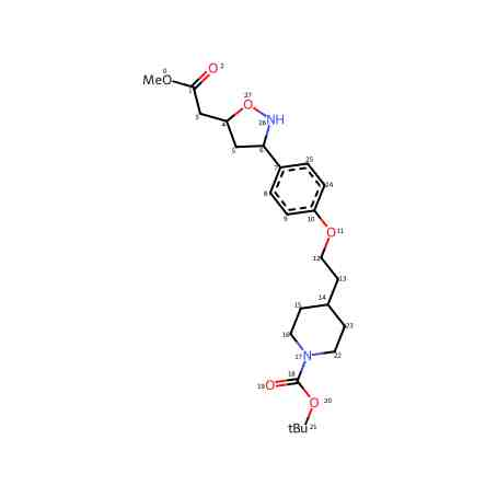 COC(=O)CC1CC(c2ccc(OCCC3CCN(C(=O)OC(C)(C)C)CC3)cc2)NO1